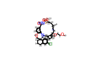 COCCO[C@H]1/C=C/[C@H](C)C[C@@H](C)S(=O)(=O)NC(=O)c2ccc3c(c2)N(C[C@@H]2CC[C@H]21)C[C@@]1(CCCc2cc(Cl)ccc21)CO3